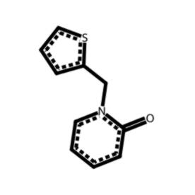 O=c1ccccn1Cc1cccs1